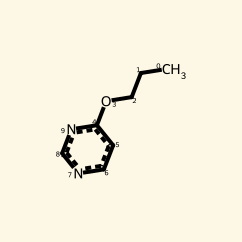 CCCOc1ccn[c]n1